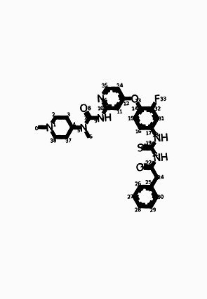 CN1CCC(N(C)C(=O)Nc2cc(Oc3ccc(NC(=S)NC(=O)Cc4ccccc4)cc3F)ccn2)CC1